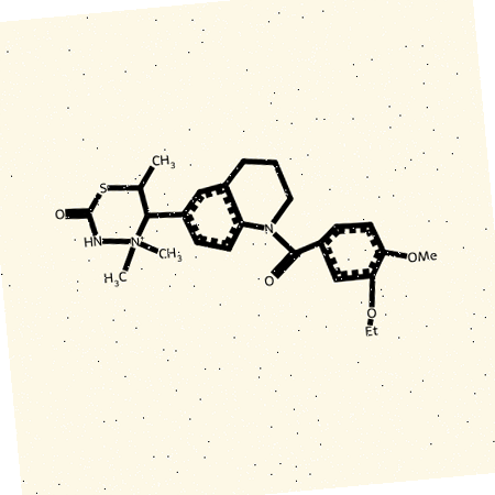 CCOc1cc(C(=O)N2CCCc3cc(C4C(C)SC(=O)N[N+]4(C)C)ccc32)ccc1OC